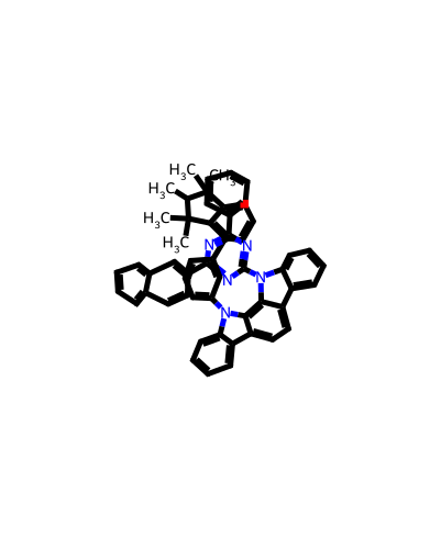 CC1C(C)(C)c2cccc(-c3cccc(-n4c5ccccc5c5ccc6c7ccccc7n(-c7nc(-c8ccccc8)nc(-c8ccc9ccccc9c8)n7)c6c54)c3)c2C1(C)C